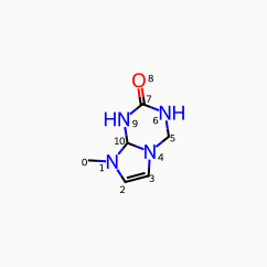 CN1C=CN2CNC(=O)NC12